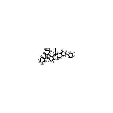 c1ccc(-c2ccc3cc(Nc4cccc5c4c4ccccc4n5-c4ccccc4)ccc3c2)cc1